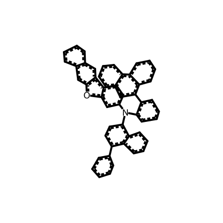 c1ccc(-c2ccc(N(c3ccc4c(c3)oc3cc5ccccc5cc34)c3ccccc3-c3cc4ccccc4c4ccccc34)c3ccccc23)cc1